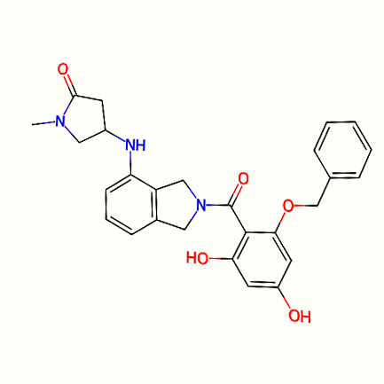 CN1CC(Nc2cccc3c2CN(C(=O)c2c(O)cc(O)cc2OCc2ccccc2)C3)CC1=O